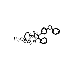 CC1(C(=O)O)CCCN(c2nc(-c3ccc(Oc4ccccc4)cc3)c(-c3ccccc3)s2)C1